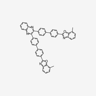 Cc1cccc2nc(-c3ccc(-c4ccc(-c5nc6ccccc6nc5-c5ccc(-c6ccc(-c7nc8cccc(C)c8o7)cc6)cc5)cc4)cc3)oc12